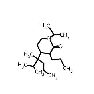 BCCC(C)(C(C)C)C1CCN(C(C)C)C(=O)C1CCC